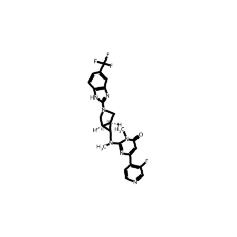 CN(c1nc(-c2ccncc2F)cc(=O)n1C)C1[C@H]2CN(c3nc4cc(C(F)(F)F)ccc4[nH]3)C[C@@H]12